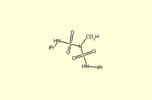 CC(C)NS(=O)(=O)N(C(=O)O)S(=O)(=O)NC(C)C